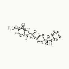 Cn1c(C(=O)Nc2ccc(S(=O)(=O)Nc3cnccn3)cc2)cc2c(Cl)c(OC(F)(F)F)ccc21